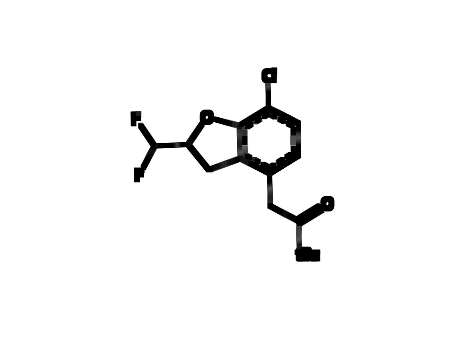 CC(C)(C)C(=O)Cc1ccc(Cl)c2c1CC(C(F)F)O2